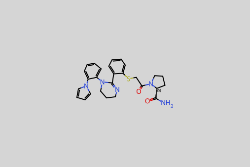 NC(=O)[C@@H]1CCCN1C(=O)CSc1ccccc1C1=NCCCN1c1ccccc1-n1cccc1